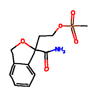 CS(=O)(=O)OCCC1(C(N)=O)OCc2ccccc21